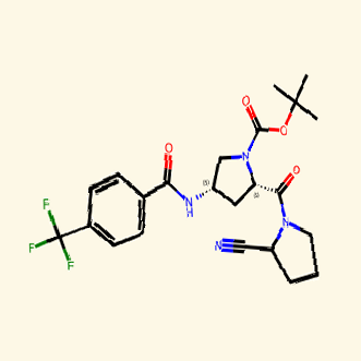 CC(C)(C)OC(=O)N1C[C@@H](NC(=O)c2ccc(C(F)(F)F)cc2)C[C@H]1C(=O)N1CCCC1C#N